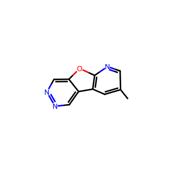 Cc1cnc2oc3cnncc3c2c1